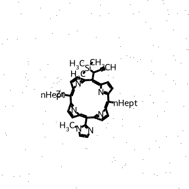 C#CC(C1=C2C=CC(=N2)C(CCCCCCC)=C2C=CC(=N2)C(c2nccn2C)=C2C=CC(=N2)C(CCCCCCC)=C2C=CC1=N2)[Si](C)(C)C.[Zn]